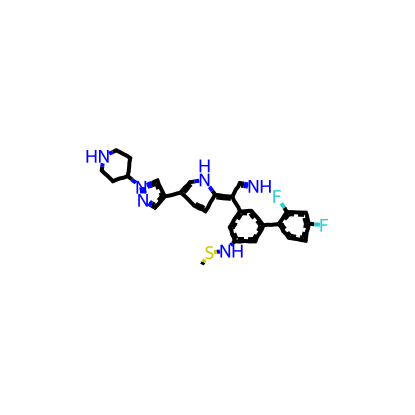 CSNc1cc(/C(C=N)=C2\C=CC(c3cnn(C4CCNCC4)c3)=CN2)cc(-c2ccc(F)cc2F)c1